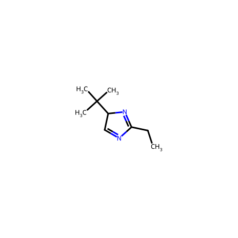 CCC1=NC(C(C)(C)C)C=N1